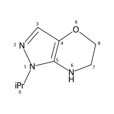 CC(C)n1ncc2c1NCCO2